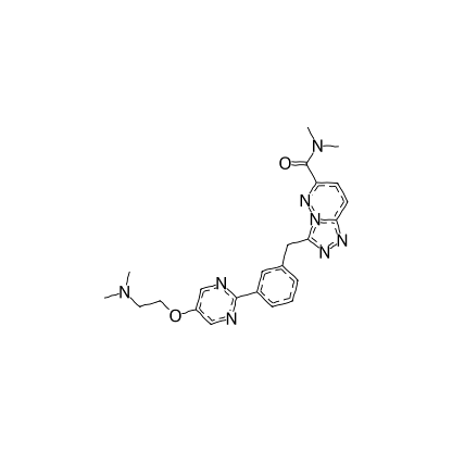 CN(C)CCOc1cnc(-c2cccc(Cc3nnc4ccc(C(=O)N(C)C)nn34)c2)nc1